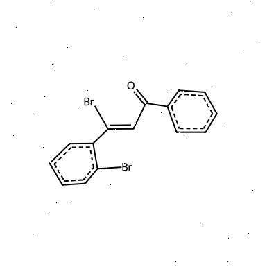 O=C(C=C(Br)c1ccccc1Br)c1ccccc1